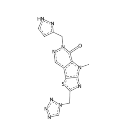 Cn1c2nc(Cn3cnnn3)sc2c2cnn(Cc3cc[nH]n3)c(=O)c21